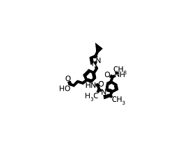 CNC(=O)c1ccc2c(C)cn(C(C)C(=O)Nc3cc(Cn4ccc(C5CC5)n4)ccc3CCCC(=O)O)c2c1